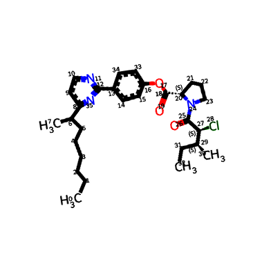 CCCCCCC(C)c1ccnc(-c2ccc(OC(=O)[C@@H]3CCCN3C(=O)[C@@H](Cl)[C@@H](C)CC)cc2)n1